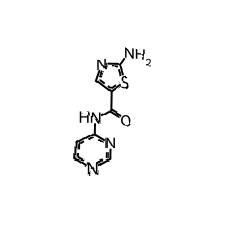 Nc1ncc(C(=O)Nc2ccncn2)s1